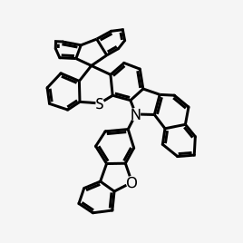 c1ccc2c(c1)Sc1c(ccc3c4ccc5ccccc5c4n(-c4ccc5c(c4)oc4ccccc45)c13)C21c2ccccc2-c2ccccc21